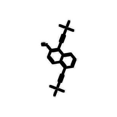 CC(C)(C)c1ccc2c(C#C[Si](C)(C)C)cccc2c1C#C[Si](C)(C)C